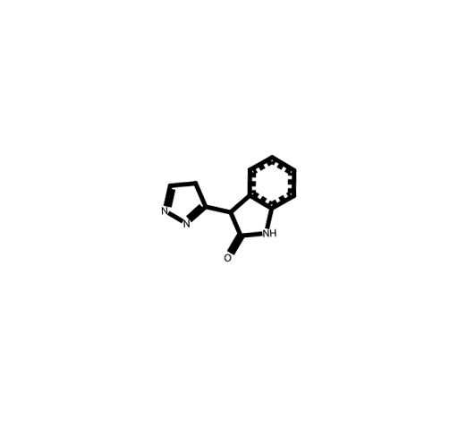 O=C1Nc2ccccc2C1C1=NN=CC1